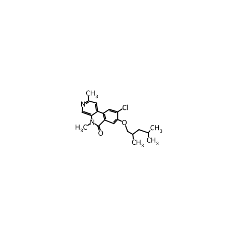 Cc1cc2c3cc(Cl)c(OCC(C)CC(C)C)cc3c(=O)n(C)c2cn1